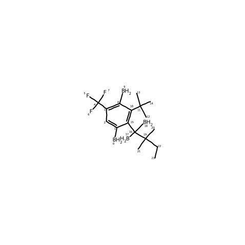 Bc1cc(C(F)(F)F)c(B)c(C(C)(C)C)c1C(B)(B)C(C)(C)CC